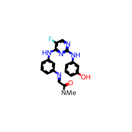 CNC(=O)/C=N/c1cccc(Nc2nc(Nc3cccc(O)c3)ncc2F)c1